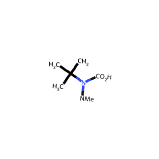 CNN(C(=O)O)C(C)(C)C